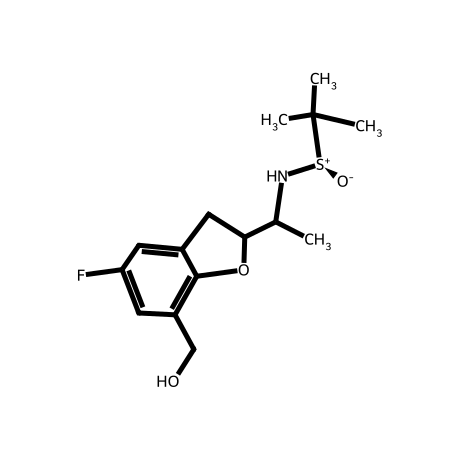 CC(N[S@+]([O-])C(C)(C)C)C1Cc2cc(F)cc(CO)c2O1